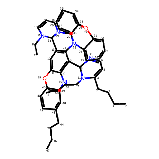 CCCCC1=CC=NC(c2c3c(cc(C4N(CC)C=CCN4CC)c2N2c4ccccc4Oc4ccccc42)Oc2ccc(CCCC)cc2N3)N1CCCC